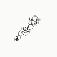 CC1=C2C[C@H]3[C@@H](CCC4c5c[nH]nc5CC[C@@]43C)[C@@H]2CC[C@]12O[C@@H]1C[C@H](C)CN[C@H]1[C@H]2C